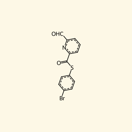 O=Cc1cccc(C(=O)Sc2ccc(Br)cc2)n1